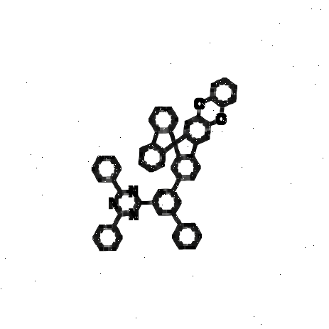 c1ccc(-c2cc(-c3ccc4c(c3)C3(c5ccccc5-c5ccccc53)c3cc5c(cc3-4)Oc3ccccc3O5)cc(-c3nc(-c4ccccc4)nc(-c4ccccc4)n3)c2)cc1